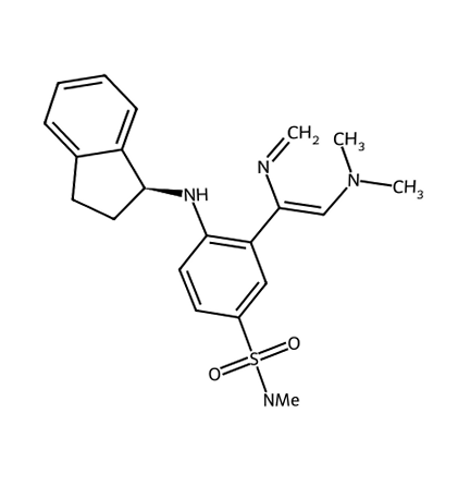 C=N/C(=C\N(C)C)c1cc(S(=O)(=O)NC)ccc1N[C@H]1CCc2ccccc21